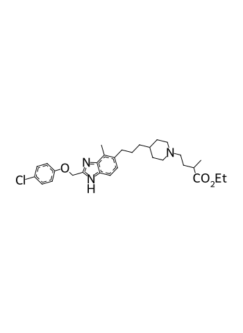 CCOC(=O)C(C)CCN1CCC(CCCc2ccc3[nH]c(COc4ccc(Cl)cc4)nc3c2C)CC1